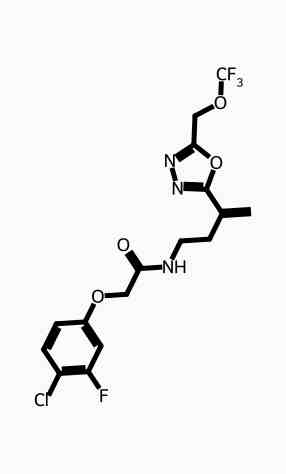 C=C(CCNC(=O)COc1ccc(Cl)c(F)c1)c1nnc(COC(F)(F)F)o1